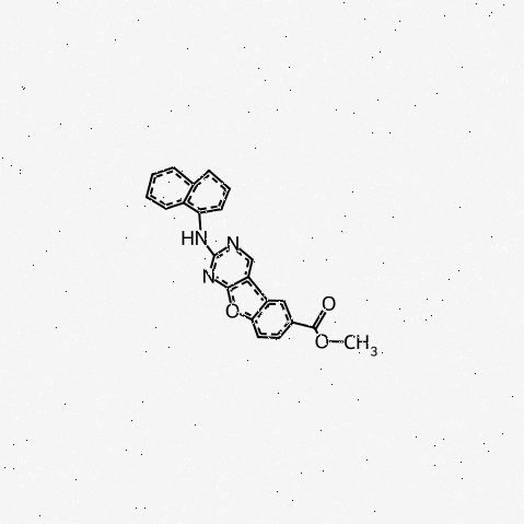 COC(=O)c1ccc2oc3nc(Nc4cccc5ccccc45)ncc3c2c1